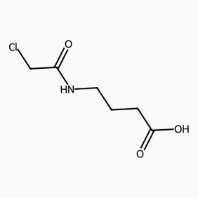 O=C(O)CCCNC(=O)CCl